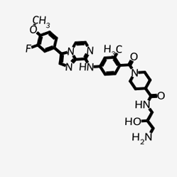 COc1ccc(-c2cnc3c(Nc4ccc(C(=O)N5CCC(C(=O)NCC(O)CN)CC5)c(C)c4)nccn23)cc1F